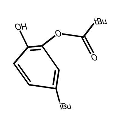 CCC(C)c1ccc(O)c(OC(=O)C(C)(C)C)c1